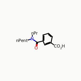 CCCCCN(CCC)C(=O)c1cccc(C(=O)O)c1